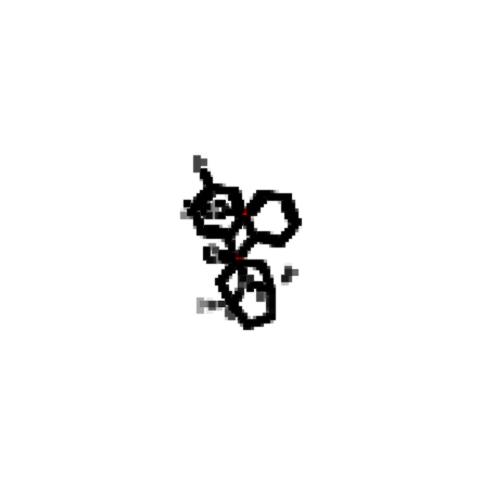 COc1ccccc1C(=O)N1[C@@H]2CC[C@H]1C[C@@H](c1ccc(F)cc1)C2